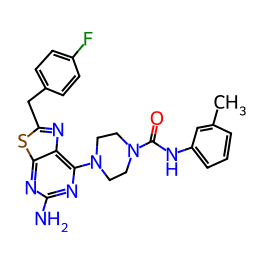 Cc1cccc(NC(=O)N2CCN(c3nc(N)nc4sc(Cc5ccc(F)cc5)nc34)CC2)c1